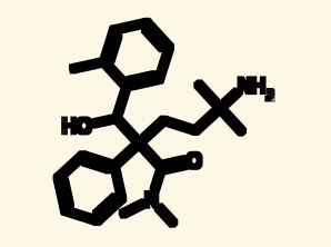 Cc1ccccc1C(O)C(CCC(C)(C)N)(C(=O)N(C)C)c1ccccc1